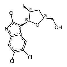 OC[C@@H]1C[C@H](I)[C@H](c2c(Cl)nc3cc(Cl)c(Cl)cn23)O1